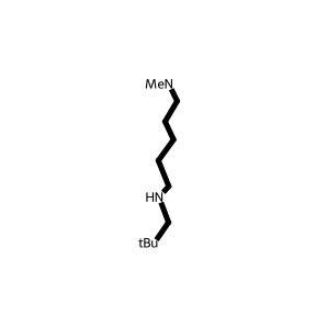 CNCCCCCNCC(C)(C)C